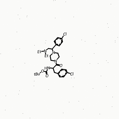 CCN(CC)CC(c1ccc(Cl)cc1)N1CCN(C(=O)C(Cc2ccc(Cl)cc2)NC(=O)OC(C)(C)C)CC1